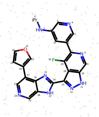 CC(C)Nc1cncc(-c2ncc3[nH]nc(-c4nc5c(-c6ccoc6)cncc5[nH]4)c3c2F)c1